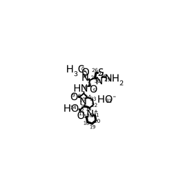 CON=C(C(=O)N[C@@H]1C(=O)N2C(C(=O)O)=C([n+]3ccccc3)CCC12)c1csc(N)n1.[OH-]